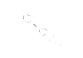 CCCCCC1CCC(c2ccc(C#Cc3ncc(C)cn3)cc2)CC1